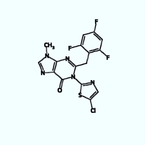 Cn1cnc2c(=O)n(-c3ncc(Cl)s3)c(Cc3c(F)cc(F)cc3F)nc21